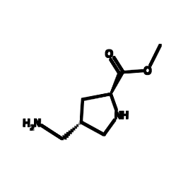 COC(=O)[C@@H]1C[C@@H](CN)CN1